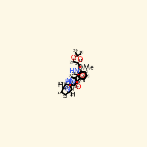 COc1cccc(C(=O)N[C@H]2C[C@H]3CC[C@@H](C2)N3c2ccc(C(=O)NCC3COC(C)(C)O3)cn2)c1C